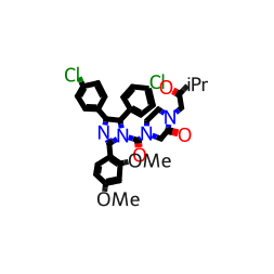 COc1ccc(C2=NC(c3ccc(Cl)cc3)C(c3ccc(Cl)cc3)N2C(=O)N2CCN(CC(=O)C(C)C)C(=O)C2)c(OC)c1